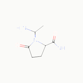 CC(N)N1C(=O)CCC1C(N)=O